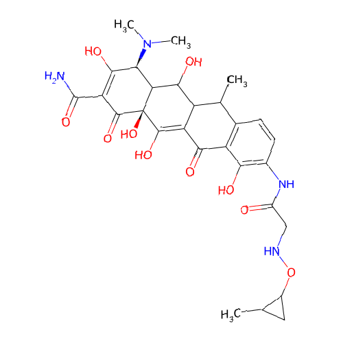 CC1CC1ONCC(=O)Nc1ccc2c(c1O)C(=O)C1=C(O)[C@]3(O)C(=O)C(C(N)=O)=C(O)[C@@H](N(C)C)C3C(O)C1C2C